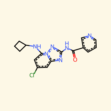 O=C(Nc1nc2cc(Cl)cc(NC3CCC3)n2n1)c1cccnc1